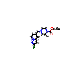 C[C@H]1CN(Cc2ccn3nc(F)cc3c2)CCN1C(=O)OC(C)(C)C